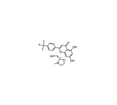 CN1CC[C@@H](c2c(O)cc(O)c3c(=O)cc(-c4ccc(C(F)(F)F)cc4)oc23)[C@@H]1CO